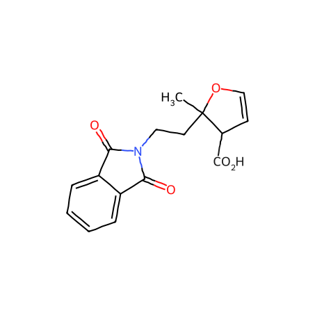 CC1(CCN2C(=O)c3ccccc3C2=O)OC=CC1C(=O)O